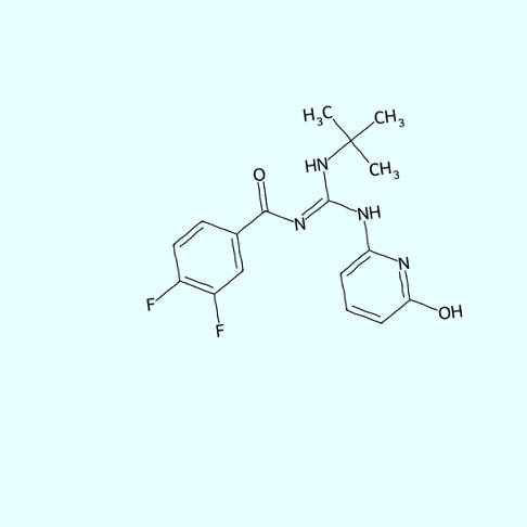 CC(C)(C)N/C(=N\C(=O)c1ccc(F)c(F)c1)Nc1cccc(O)n1